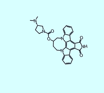 CN(C)[C@@H]1CCN(C(=O)OC2CCn3c4ccccc4c4c5c(c6c7ccccc7n(c6c43)C2)C(=O)NC5=O)C1